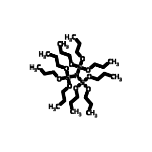 CCCO[Si](OCCC)(OCCC)N([Si](OCCC)(OCCC)OCCC)[Si](OCCC)(OCCC)OCCC